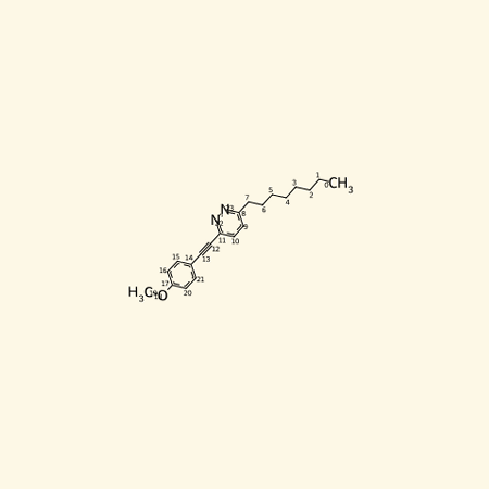 CCCCCCCCc1ccc(C#Cc2ccc(OC)cc2)nn1